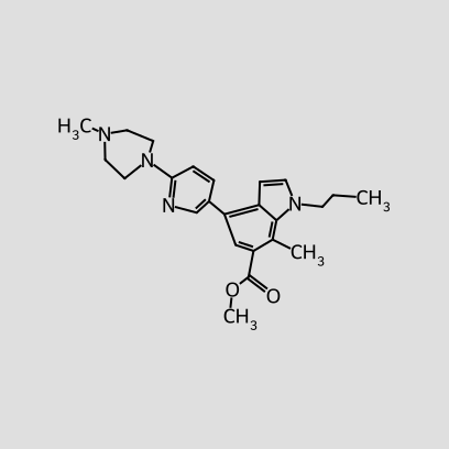 CCCn1ccc2c(-c3ccc(N4CCN(C)CC4)nc3)cc(C(=O)OC)c(C)c21